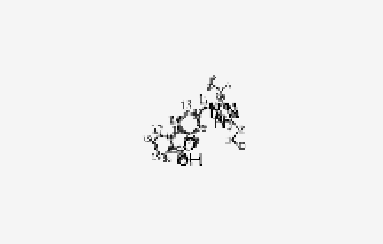 CCCc1nc(C(C)CC)n(Cc2ccc(-c3ccccc3C(=O)O)cc2)n1